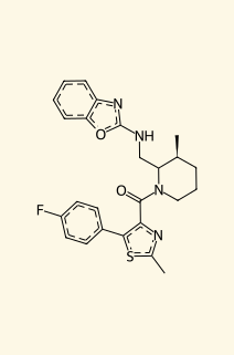 Cc1nc(C(=O)N2CCC[C@H](C)C2CNc2nc3ccccc3o2)c(-c2ccc(F)cc2)s1